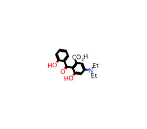 CCN(CC)c1cc(O)c(C(=O)c2ccccc2O)c(C(=O)O)c1